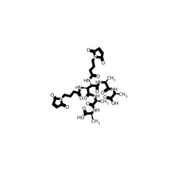 C[C@H](NC(=O)[C@H](C)NC(=O)[C@@H](NC(=O)CCCN1C(=O)C=CC1=O)[C@H](NC(=O)CCCN1C(=O)C=CC1=O)C(=O)N[C@@H](C)C(=O)N[C@@H](C)C(=O)O)C(=O)O